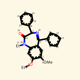 CCOc1cc2c(cc1OC)C(c1ccccc1)=NC(c1ccccc1)C(=O)N2CC